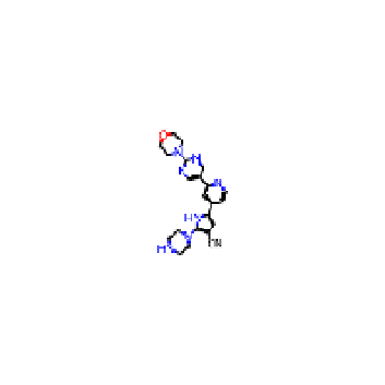 N#Cc1cc(-c2ccnc(-c3cnc(N4CCOCC4)nc3)c2)[nH]c1N1CCNCC1